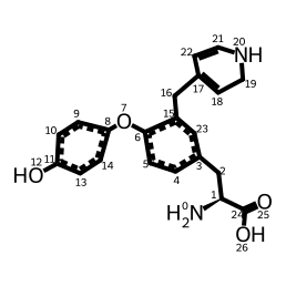 N[C@@H](Cc1ccc(Oc2ccc(O)cc2)c(CC2=CCNC=C2)c1)C(=O)O